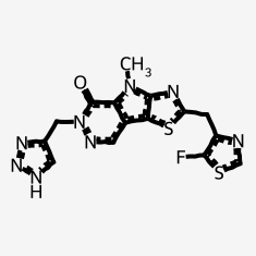 Cn1c2nc(Cc3ncsc3F)sc2c2cnn(Cc3c[nH]nn3)c(=O)c21